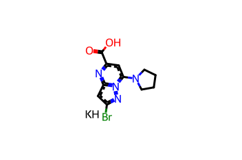 O=C(O)c1cc(N2CCCC2)n2nc(Br)cc2n1.[KH]